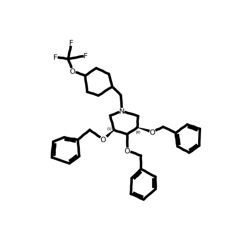 FC(F)(F)OC1CCC(CN2C[C@H](OCc3ccccc3)C(OCc3ccccc3)[C@H](OCc3ccccc3)C2)CC1